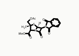 COC(=O)C1N2C(=O)C(N3C(=O)c4ccccc4C3=O)[C@@H]2S[C@@]1(C)COC(C)=O